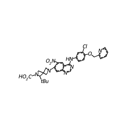 CC(C)(C)C1N(C(=O)O)CC12CN(c1cc3ncnc(Nc4ccc(OCc5ccccn5)c(Cl)c4)c3cc1[N+](=O)[O-])C2